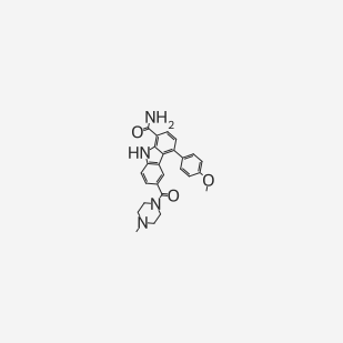 COc1ccc(-c2ccc(C(N)=O)c3[nH]c4ccc(C(=O)N5CCN(C)CC5)cc4c23)cc1